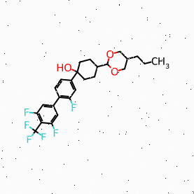 CCCC1COC(C2CCC(O)(c3ccc(-c4cc(F)c(C(F)(F)F)c(F)c4)c(F)c3)CC2)OC1